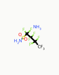 N.NS(=O)(=O)C(F)(F)C(F)(F)C(F)(F)C(F)(F)F